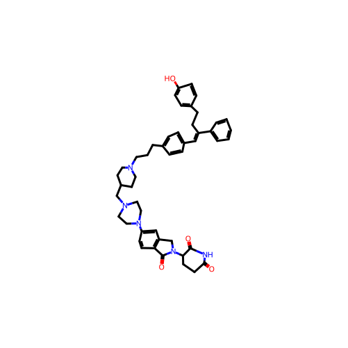 O=C1CCC(N2Cc3cc(N4CCN(CC5CCN(CCCc6ccc(/C=C(\CCc7ccc(O)cc7)c7ccccc7)cc6)CC5)CC4)ccc3C2=O)C(=O)N1